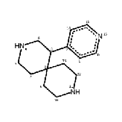 c1cc(C2CNCCC23CCNCC3)ccn1